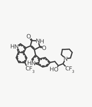 O=C1NC(=O)C(c2c[nH]c3ccc(C(F)(F)F)cc23)=C1c1c[nH]c2ccc(CC(O)C(N3CCCCC3)C(F)(F)F)cc12